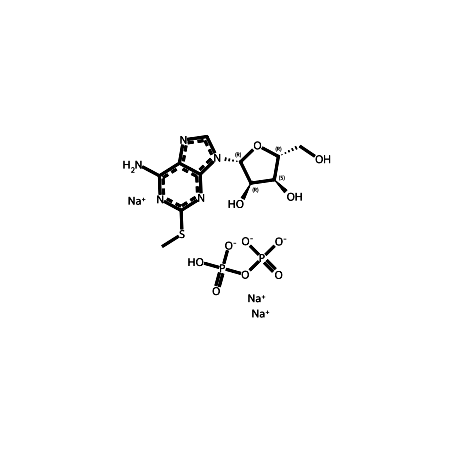 CSc1nc(N)c2ncn([C@@H]3O[C@H](CO)[C@@H](O)[C@H]3O)c2n1.O=P([O-])([O-])OP(=O)([O-])O.[Na+].[Na+].[Na+]